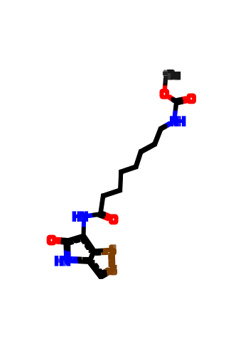 CC(C)(C)OC(=O)NCCCCCCCC(=O)Nc1c2sscc-2[nH]c1=O